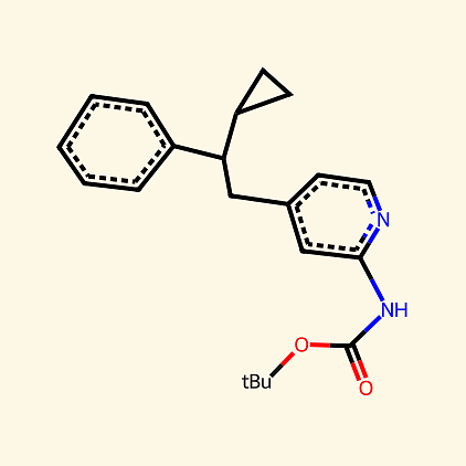 CC(C)(C)OC(=O)Nc1cc(CC(c2ccccc2)C2CC2)ccn1